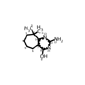 CC1(C)CCCCc2c(O)nc(N)nc21